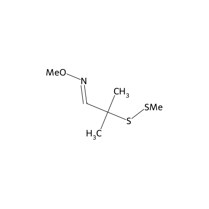 CON=CC(C)(C)SSC